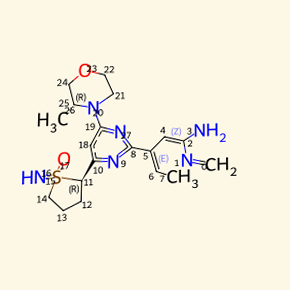 C=N/C(N)=C\C(=C/C)c1nc([C@H]2CCCS2(=N)=O)cc(N2CCOC[C@H]2C)n1